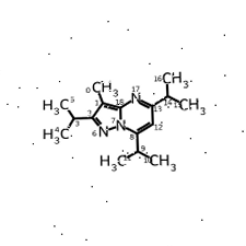 Cc1c(C(C)C)nn2c(C(C)C)cc(C(C)C)nc12